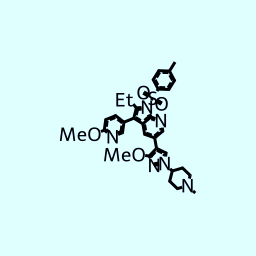 CCc1c(-c2ccc(OC)nc2)c2cc(-c3cn(C4CCN(C)CC4)nc3OC)cnc2n1S(=O)(=O)c1ccc(C)cc1